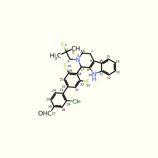 CC(C)(F)CN1CCc2c([nH]c3ccccc23)C1c1c(F)cc(-c2ccc(C=O)cc2Cl)cc1F